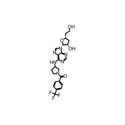 O=C(c1ccc(C(F)(F)F)cc1)N1CCC(Nc2ncnc3c2ncn3[C@@H]2O[C@@H](CCO)C[C@H]2O)C1